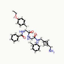 CCOc1ccc(C[C@@H](NC(=O)c2ccccc2)C(=O)N[C@@H](Cc2ccccc2)C(=O)NCC23CC(CN)(C2)C3)cc1